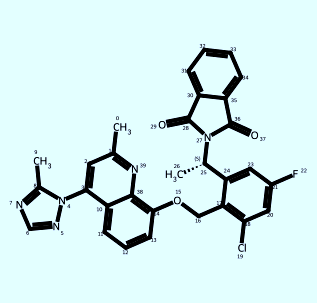 Cc1cc(-n2ncnc2C)c2cccc(OCc3c(Cl)cc(F)cc3[C@H](C)N3C(=O)c4ccccc4C3=O)c2n1